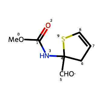 COC(=O)NC1([C]=O)CC=CS1